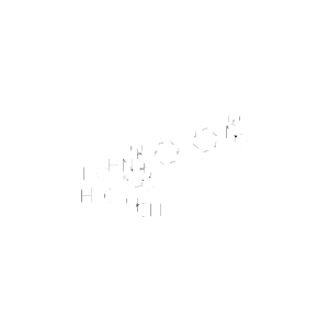 COC(=O)[C@@H](NS(=O)(=O)c1ccc(-c2ccc([N+](=O)[O-])cc2)cc1)C(C)C